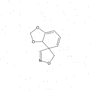 [C]1=NOCC12C=CC=C1OCOC12